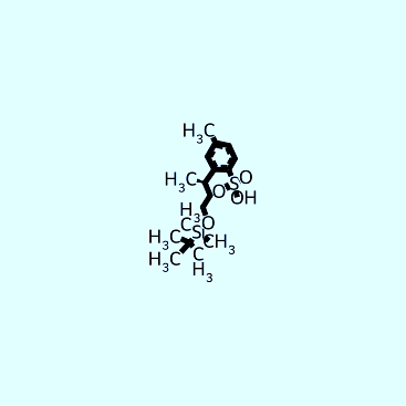 Cc1ccc(S(=O)(=O)O)c([C@H](C)CCO[Si](C)(C)C(C)(C)C)c1